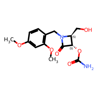 COc1ccc(CN2C(=O)[C@@H](OC(N)=O)[C@@H]2CO)c(OC)c1